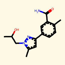 Cc1ccc(-c2cc(C)n(CC(C)O)n2)cc1C(N)=O